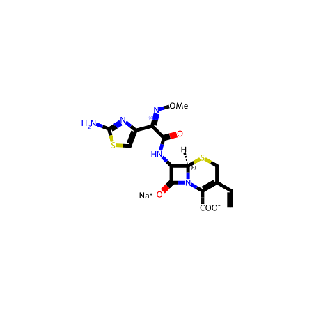 C=CC1=C(C(=O)[O-])N2C(=O)C(NC(=O)/C(=N\OC)c3csc(N)n3)[C@H]2SC1.[Na+]